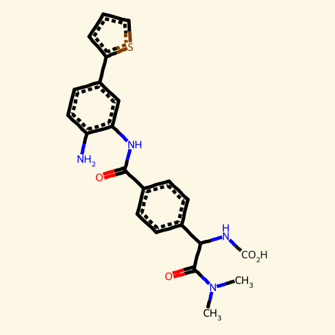 CN(C)C(=O)C(NC(=O)O)c1ccc(C(=O)Nc2cc(-c3cccs3)ccc2N)cc1